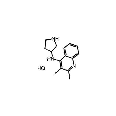 Cc1nc2ccccc2c(NC2CCNC2)c1C.Cl